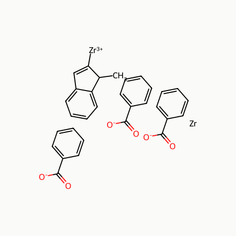 CC1[C]([Zr+3])=Cc2ccccc21.O=C([O-])c1ccccc1.O=C([O-])c1ccccc1.O=C([O-])c1ccccc1.[Zr]